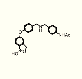 CC(=O)Nc1ccc(CNCc2ccc(Oc3ccc4c(c3)COB4O)cc2)cc1